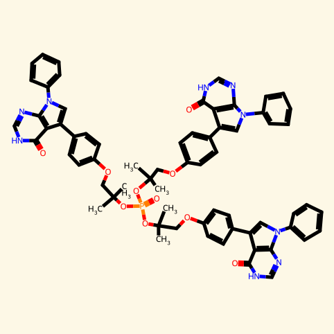 CC(C)(COc1ccc(-c2cn(-c3ccccc3)c3nc[nH]c(=O)c23)cc1)OP(=O)(OC(C)(C)COc1ccc(-c2cn(-c3ccccc3)c3nc[nH]c(=O)c23)cc1)OC(C)(C)COc1ccc(-c2cn(-c3ccccc3)c3nc[nH]c(=O)c23)cc1